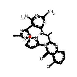 Cc1noc(-c2c(N)nc(N)nc2NC(C)c2nc3cccc(Cl)c3c(=O)n2-c2cc[nH]n2)n1